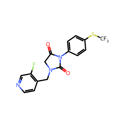 O=C1CN(Cc2ccncc2F)C(=O)N1c1ccc(SC(F)(F)F)cc1